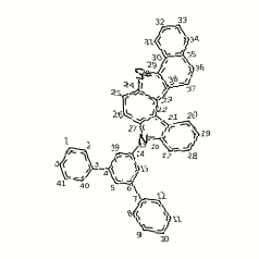 c1ccc(-c2cc(-c3ccccc3)cc(-n3c4ccccc4c4c5c(ccc43)sc3c4ccccc4ccc35)c2)cc1